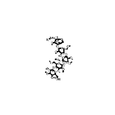 COCC1O[C@@H](O[C@H]2C(OC)C(OC)[C@@H](O[C@H]3C(OC)C(OC)[C@H](O[C@H]4C5CO[C@H](O5)[C@@H](N=[N+]=[N-])C4OC)O[C@H]3COC)O[C@H]2COC)[C@@H](OC)C(OC)[C@@H]1O[C@@H]1OC(CO)[C@@H](O)C(OC)[C@@H]1OC